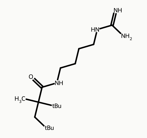 CC(C)(C)CC(C)(C(=O)NCCCCNC(=N)N)C(C)(C)C